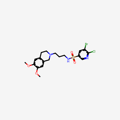 COc1cc2c(cc1OC)CN(CCCNS(=O)(=O)c1cnc(Cl)c(Br)c1)CC2